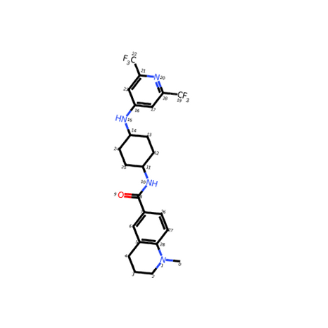 CN1CCCc2cc(C(=O)NC3CCC(Nc4cc(C(F)(F)F)nc(C(F)(F)F)c4)CC3)ccc21